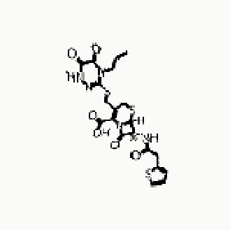 C=CCn1c(SCC2=C(C(=O)O)N3C(=O)[C@@H](NC(=O)Cc4cccs4)[C@H]3SC2)n[nH]c(=O)c1=O